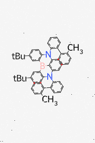 Cc1ccccc1-c1ccccc1N1c2ccc(C(C)(C)C)cc2B2c3cc(C(C)(C)C)ccc3N(c3ccccc3-c3ccccc3C)c3cccc1c32